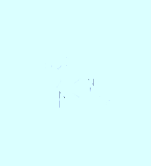 CC(C)(Cl)c1cc2[nH]cc(C(=O)O)c2cn1